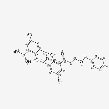 CCCC(O)c1cc(Cl)cc2c1OC1OC2Oc2c(C(=O)CCOCc3ccccc3)cc(Cl)cc21